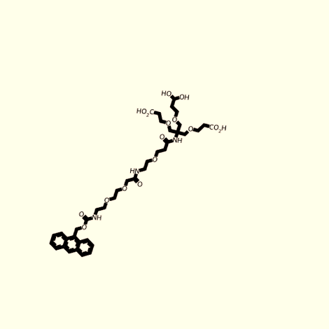 O=C(O)CCOCC(COCCC(=O)O)(COCCC(O)O)NC(=O)CCOCCNC(=O)COCCOCCNC(=O)OCc1c2ccccc2cc2ccccc12